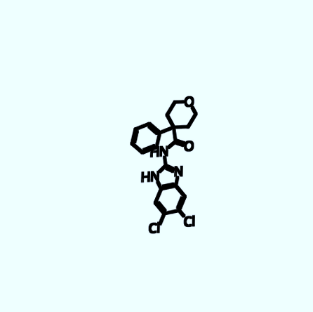 O=C(Nc1nc2cc(Cl)c(Cl)cc2[nH]1)C1(c2ccccc2)CCOCC1